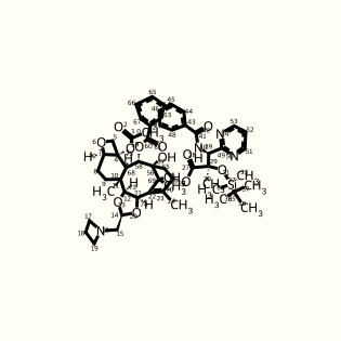 CC(=O)O[C@@]12CO[C@@H]1CC[C@@]1(C)[C@@H]3O[C@H](CN4CCC4)O[C@@H]3C3=C(C)[C@@H](OC(=O)[C@](C)(O[Si](C)(C)C(C)(C)C)[C@@H](NC(=O)c4ccccc4)c4ncccn4)C[C@@](O)([C@@H](OC(=O)c4ccccc4)[C@@H]12)C3(C)C